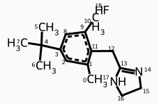 Cc1cc(C(C)(C)C)cc(C)c1CC1=NCCN1.F